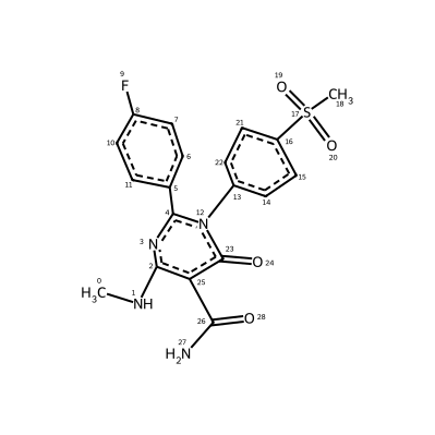 CNc1nc(-c2ccc(F)cc2)n(-c2ccc(S(C)(=O)=O)cc2)c(=O)c1C(N)=O